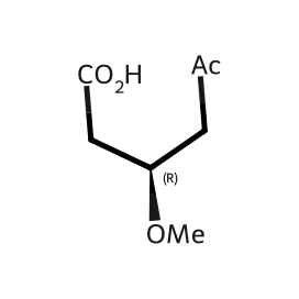 CO[C@H](CC(C)=O)CC(=O)O